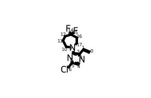 C=Cc1ncc(Cl)nc1N1CCCC(F)(F)CC1